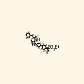 CCOC(=O)C1(c2ccc(-c3ccc(-c4onc(C)c4NC(CC)CCc4ccccc4)cc3)cc2)CC1